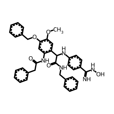 COc1cc(C(Nc2ccc(C(=N)NO)cc2)C(=O)NCc2ccccc2)c(NC(=O)Cc2ccccc2)cc1OCc1ccccc1